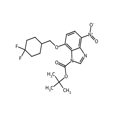 CC(C)(C)OC(=O)n1cnc2c([N+](=O)[O-])ccc(OCC3CCC(F)(F)CC3)c21